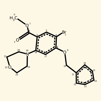 COC(=O)c1cc(Br)c(OCc2ccccc2)cc1N1CCOCC1